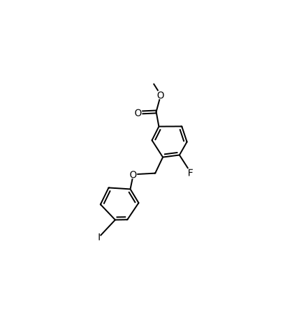 COC(=O)c1ccc(F)c(COc2ccc(I)cc2)c1